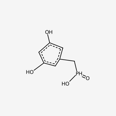 O=[PH](O)Cc1cc(O)cc(O)c1